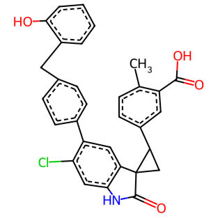 Cc1ccc(C2CC23C(=O)Nc2cc(Cl)c(-c4ccc(Cc5ccccc5O)cc4)cc23)cc1C(=O)O